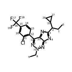 CCC(c1nc2nn(CC)nc(-c3ccc(C(F)(F)F)cc3Cl)c-2n1)C1CC1